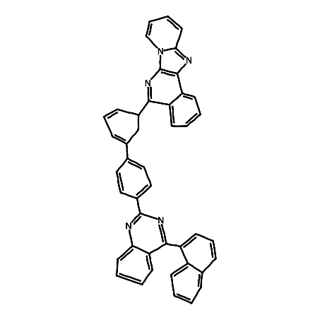 C1=CC(c2nc3c(nc4ccccn43)c3ccccc23)CC(c2ccc(-c3nc(-c4cccc5ccccc45)c4ccccc4n3)cc2)=C1